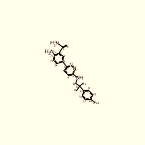 C=C(N)c1cc(-c2ccc(NCC(C)(C)c3ccc(F)cc3)nn2)ccc1N